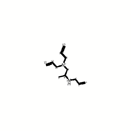 C=CCNC(C)CN(CC=C)CC=C